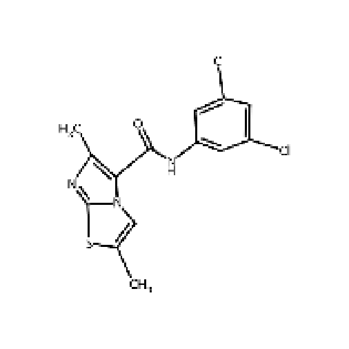 Cc1cn2c(C(=O)Nc3cc(Cl)cc(Cl)c3)c(C)nc2s1